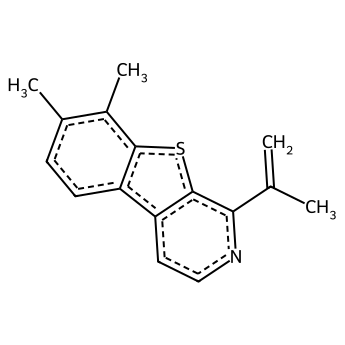 C=C(C)c1nccc2c1sc1c(C)c(C)ccc12